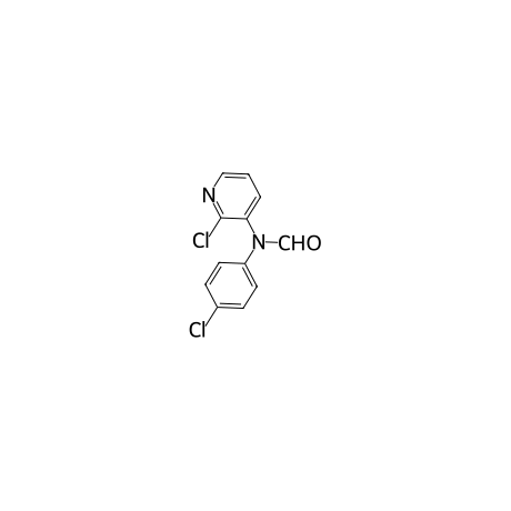 O=CN(c1ccc(Cl)cc1)c1cccnc1Cl